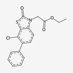 CCOC(=O)Cn1c(=O)sc2c(Cl)c(-c3ccccc3)ccc21